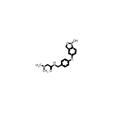 CN(C)CC(=O)NCc1ccc(Oc2ccc3c(c2)COB3O)cc1